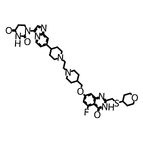 O=C1CCN(c2cnc3cc(C4CCN(CCN5CCC(COc6cc(F)c7c(=O)[nH]c(CSC8CCOCC8)nc7c6)CC5)CC4)ccn23)C(=O)N1